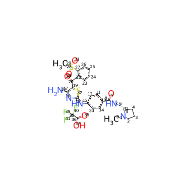 CN1CCC[C@H]1CNC(=O)c1ccc(Nc2nc(N)c(C(=O)c3ccccc3S(C)(=O)=O)s2)cc1.O=C(O)C(F)(F)F